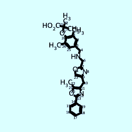 Cc1cc(CNCc2nc(Cc3nc(-c4ccccc4)oc3C)co2)cc(C)c1OC(C)(C)C(=O)O